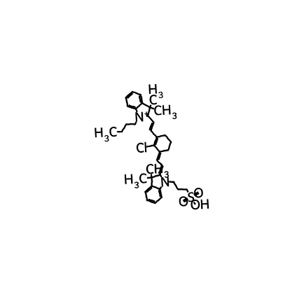 CCCC[N+]1=C(/C=C/C2=C(Cl)C(=C/C=C3/N(CCCS(=O)(=O)O)c4ccccc4C3(C)C)/CCC2)C(C)(C)c2ccccc21